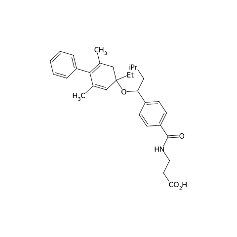 CCC1(OC(CC(C)C)c2ccc(C(=O)NCCC(=O)O)cc2)C=C(C)C(c2ccccc2)=C(C)C1